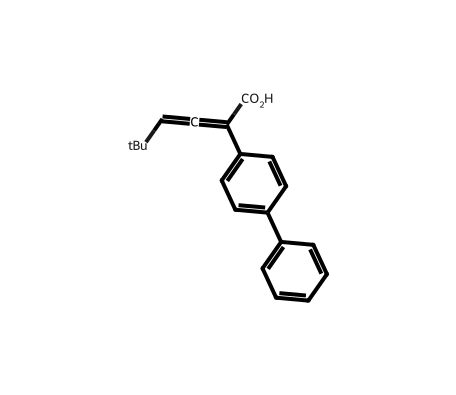 CC(C)(C)C=C=C(C(=O)O)c1ccc(-c2ccccc2)cc1